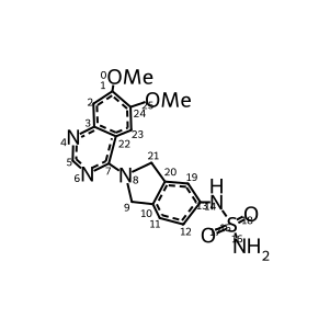 COc1cc2ncnc(N3Cc4ccc(NS(N)(=O)=O)cc4C3)c2cc1OC